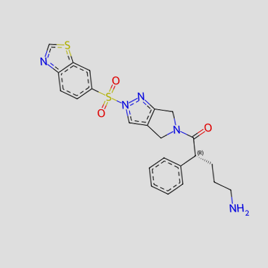 NCCC[C@@H](C(=O)N1Cc2cn(S(=O)(=O)c3ccc4ncsc4c3)nc2C1)c1ccccc1